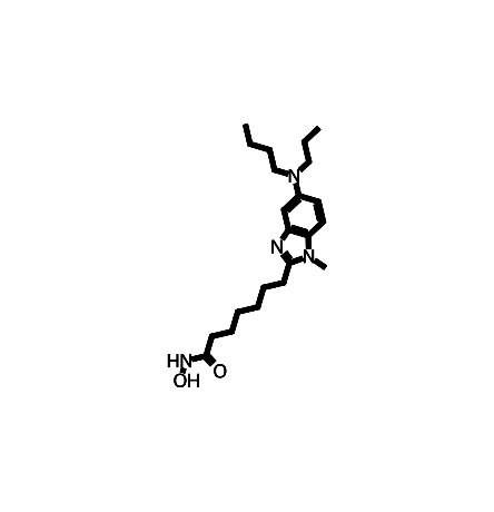 CCCCN(CCC)c1ccc2c(c1)nc(CCCCCCC(=O)NO)n2C